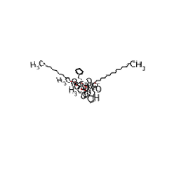 CCCCCCCCCCCCCCCC(=O)O[C@]1(C(=O)[O-])C[C@@H]2CCC[C@@]2(OC(=O)CCCCCCCCCCCCCCC)[N+]1(CCC)C(=O)[C@H](C)N[C@@H](CCc1ccccc1)C(=O)OCC